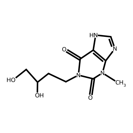 Cn1c(=O)n(CCC(O)CO)c(=O)c2[nH]cnc21